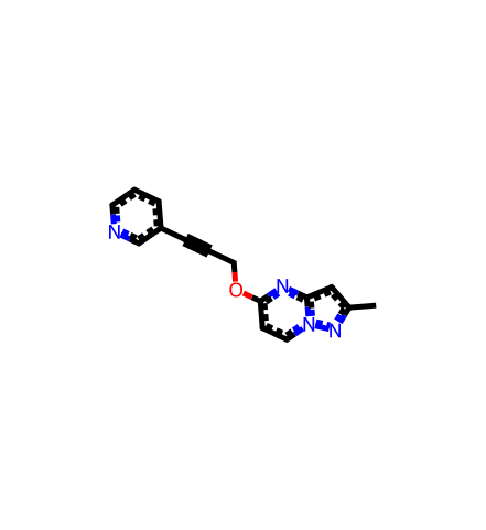 Cc1cc2nc(OCC#Cc3cccnc3)ccn2n1